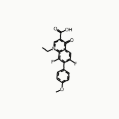 CCn1cc(C(=O)O)c(=O)c2cc(F)c(-c3ccc(OC)cc3)c(F)c21